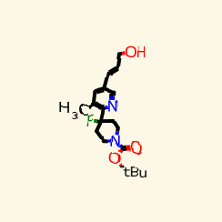 Cc1cc(/C=C/CO)cnc1C1(F)CCN(C(=O)OC(C)(C)C)CC1